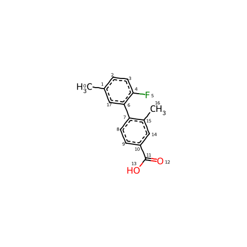 Cc1ccc(F)c(-c2ccc(C(=O)O)cc2C)c1